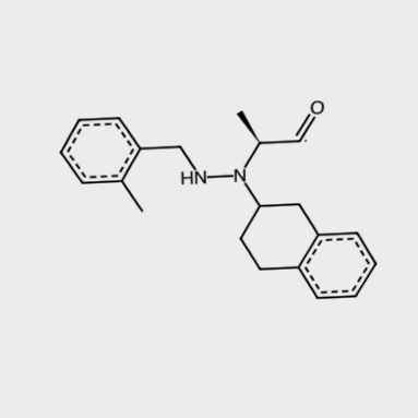 Cc1ccccc1CNN(C1CCc2ccccc2C1)[C@@H](C)[C]=O